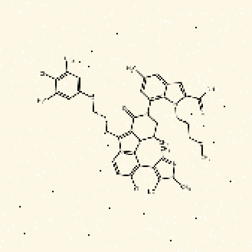 COCCCn1c(C(=O)O)cc2cc(C)cc(N3C[C@@H](C)n4c(c(CCCOc5cc(C)c(Cl)c(C)c5)c5ccc(Cl)c(-c6c(C)nn(C)c6C)c54)C3=O)c21